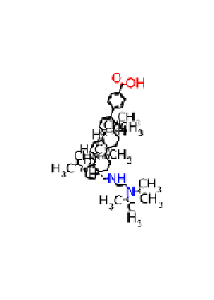 C=C(C)[C@@H]1CC[C@]2(CNCCN(C(C)C)C(C)C)CC[C@]3(C)[C@H](CC[C@@H]4[C@@]5(C)CC=C(c6ccc(C(=O)O)cc6)C(C)(C)[C@@H]5CC[C@]43C)[C@@H]12